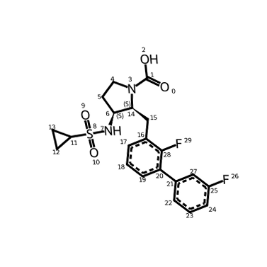 O=C(O)N1CC[C@H](NS(=O)(=O)C2CC2)[C@@H]1Cc1cccc(-c2cccc(F)c2)c1F